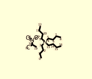 CCCC[N+](CCCC)(CCCC)CCCC.[CH2-]C(C)[N+](=O)[O-]